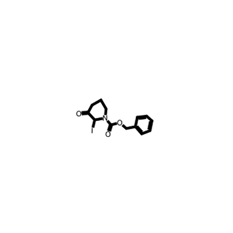 O=C1CCCN(C(=O)OCc2ccccc2)C1I